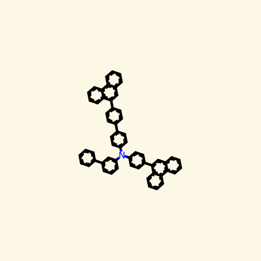 c1ccc(-c2cccc(N(c3ccc(-c4ccc(-c5cc6ccccc6c6ccccc56)cc4)cc3)c3ccc(-c4cc5ccccc5c5ccccc45)cc3)c2)cc1